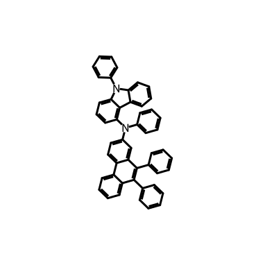 c1ccc(-c2c(-c3ccccc3)c3cc(N(c4ccccc4)c4cccc5c4c4ccccc4n5-c4ccccc4)ccc3c3ccccc23)cc1